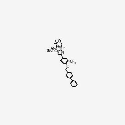 CC(C)(C)OC(=O)N1C(C)(C)OC[C@@]1(C)c1nc(-c2ccc(OCc3ccc(-c4ccccc4)cc3)c(C(F)(F)F)c2)cs1